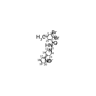 Cc1cc(Br)c(Br)c(C(=O)NCN2CCC(c3cccc[n+]3[O-])CC2)c1